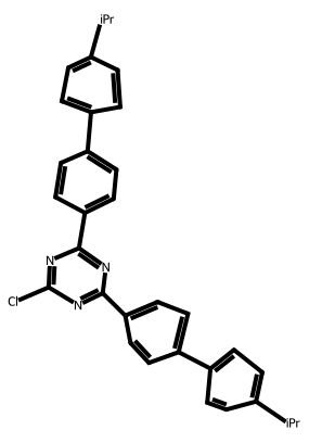 CC(C)c1ccc(-c2ccc(-c3nc(Cl)nc(-c4ccc(-c5ccc(C(C)C)cc5)cc4)n3)cc2)cc1